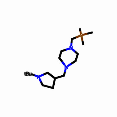 CC(C)(C)N1CCC(CN2CCN(CS(C)(C)C)CC2)C1